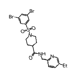 CCc1ccc(CNC(=O)C2CCN(S(=O)(=O)c3cc(Br)cc(Br)c3)CC2)nc1